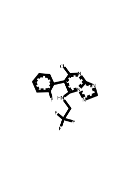 Fc1ccccc1-c1c(Cl)nc2ncnn2c1NCC(F)(F)F